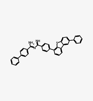 N=C(/N=C(\N)c1ccc(-c2ccccc2)cc1)c1ccc(-c2cccc3c2sc2ccc(-c4ccccc4)cc23)cc1